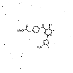 CCc1c(C)nc(-c2cc(C)c(N)s2)nc1Nc1ccc(CC(=O)OC)cc1